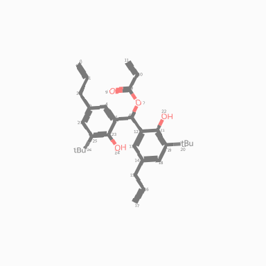 C=CCc1cc(C(OC(=O)C=C)c2cc(CC=C)cc(C(C)(C)C)c2O)c(O)c(C(C)(C)C)c1